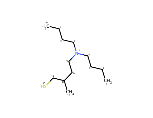 CCCCN(CCCC)CCC(C)CS